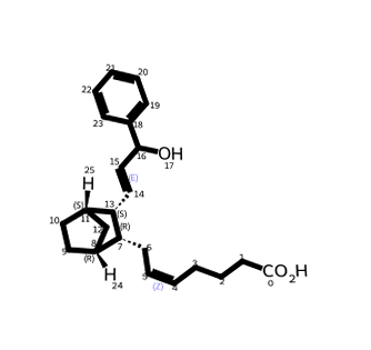 O=C(O)CCC/C=C\C[C@@H]1[C@@H]2CC[C@@H](C2)[C@@H]1/C=C/C(O)c1ccccc1